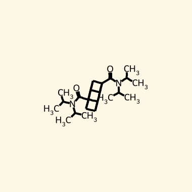 CC(C)N(C(=O)C12C3C4C1C1C2C3C41C(=O)N(C(C)C)C(C)C)C(C)C